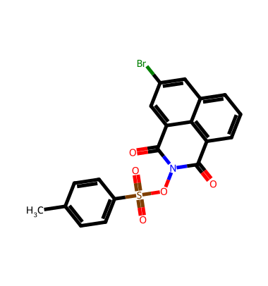 Cc1ccc(S(=O)(=O)ON2C(=O)c3cccc4cc(Br)cc(c34)C2=O)cc1